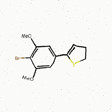 COc1cc(C2=CCCS2)cc(OC)c1Br